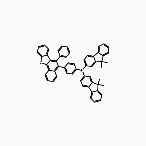 CC1(C)c2ccccc2-c2ccc(N(c3ccc(-c4c(-c5ccccc5)c5c6ccccc6oc5c5ccccc45)cc3)c3ccc4c(c3)C(C)(C)c3ccccc3-4)cc21